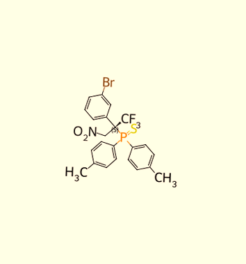 Cc1ccc(P(=S)(c2ccc(C)cc2)[C@](C[N+](=O)[O-])(c2cccc(Br)c2)C(F)(F)F)cc1